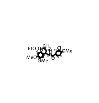 CCOC(=O)N1c2cc(OC)c(OC)cc2C(CNC(=O)c2ccc(OC)c(Cl)c2)CC1C